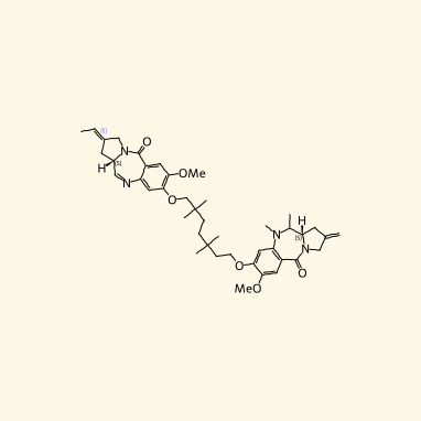 C=C1C[C@H]2C(C)N(C)c3cc(OCCC(C)(C)CCC(C)(C)COc4cc5c(cc4OC)C(=O)N4C/C(=C/C)C[C@H]4C=N5)c(OC)cc3C(=O)N2C1